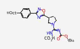 CCCCCCCCc1ccc(-c2noc(C3CCN(/C(=N/C(=O)OC(C)(C)C)NC(=O)O)C3)n2)cc1